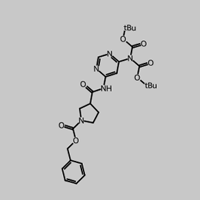 CC(C)(C)OC(=O)N(C(=O)OC(C)(C)C)c1cc(NC(=O)C2CCN(C(=O)OCc3ccccc3)C2)ncn1